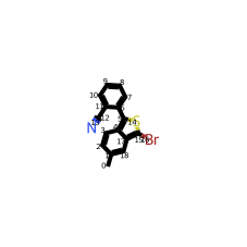 Cc1ccc2c(-c3ccccc3C#N)sc(Br)c2c1